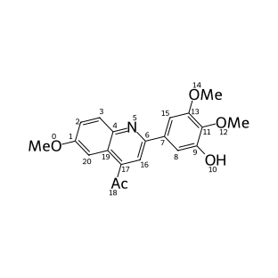 COc1ccc2nc(-c3cc(O)c(OC)c(OC)c3)cc(C(C)=O)c2c1